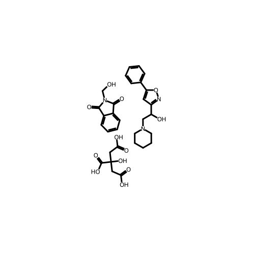 O=C(O)CC(O)(CC(=O)O)C(=O)O.O=C1c2ccccc2C(=O)N1CO.OC(CN1CCCCC1)c1cc(-c2ccccc2)on1